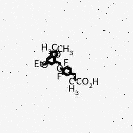 CCOc1cc(COc2c(F)cc(CC(C)C(=O)O)cc2F)c2c(c1)CC(C)(C)O2